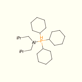 CC(C)[CH2][Al]([CH2]C(C)C)[PH](C1CCCCC1)(C1CCCCC1)C1CCCCC1